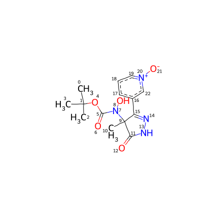 CC(C)(C)OC(=O)N(O)C1(C)C(=O)NN=C1c1ccc[n+]([O-])c1